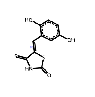 O=C1NC(=S)/C(=C/c2cc(O)ccc2O)S1